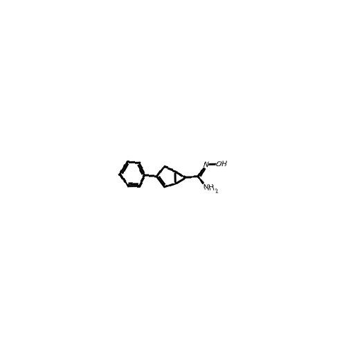 N/C(=N\O)C1C2C=C(c3ccccc3)CC21